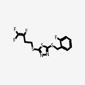 FC(F)=C(F)CCSc1nnc(SCc2ccccc2F)s1